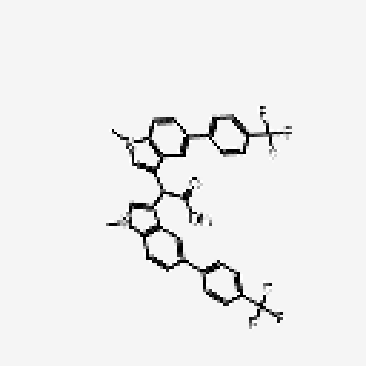 Cn1cc(C(C(=O)O)c2cn(C)c3ccc(-c4ccc(C(F)(F)F)cc4)cc23)c2cc(-c3ccc(C(F)(F)F)cc3)ccc21